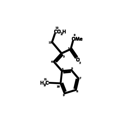 COC(=O)/C(=C\c1ccccc1C)CC(=O)O